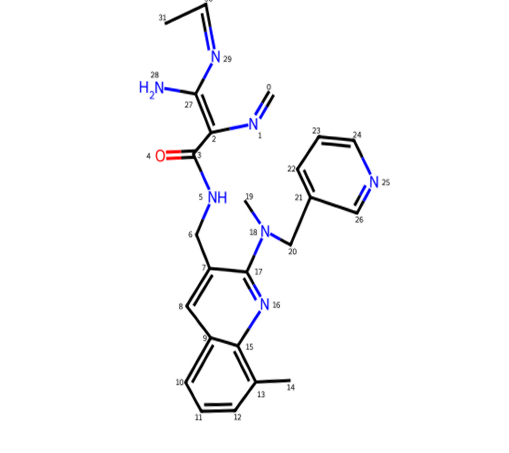 C=N/C(C(=O)NCc1cc2cccc(C)c2nc1N(C)Cc1cccnc1)=C(N)\N=C/C